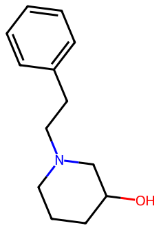 OC1CCCN(CCc2ccccc2)C1